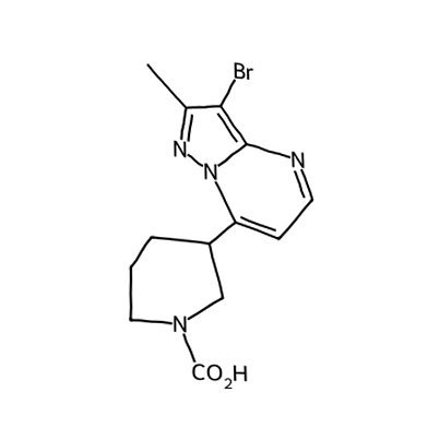 Cc1nn2c(C3CCCN(C(=O)O)C3)ccnc2c1Br